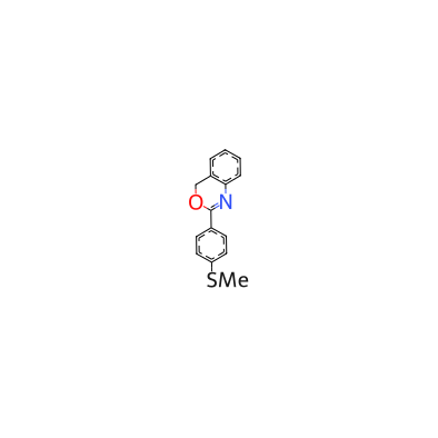 CSc1ccc(C2=Nc3ccccc3CO2)cc1